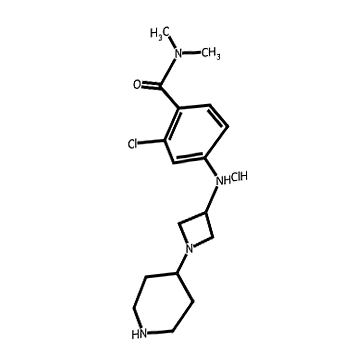 CN(C)C(=O)c1ccc(NC2CN(C3CCNCC3)C2)cc1Cl.Cl